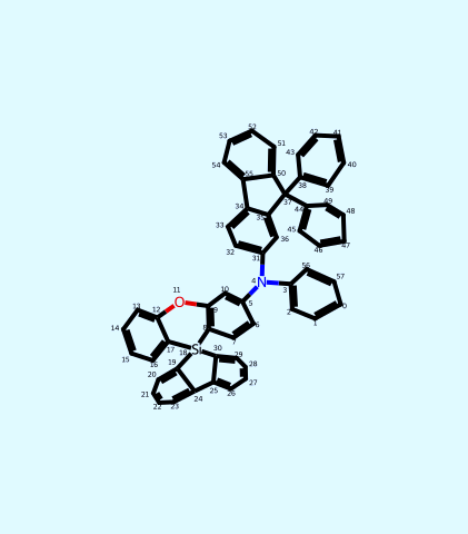 c1ccc(N(c2ccc3c(c2)Oc2ccccc2[Si]32c3ccccc3-c3ccccc32)c2ccc3c(c2)C(c2ccccc2)(c2ccccc2)c2ccccc2-3)cc1